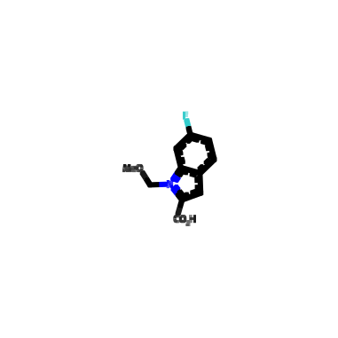 COCn1c(C(=O)O)cc2ccc(F)cc21